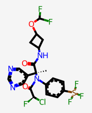 C[C@@](C(=O)NC1CC(OC(F)F)C1)(c1cncnc1)N(C(=O)[C@H](F)Cl)c1ccc(S(F)(F)F)cc1